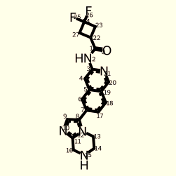 O=C(Nc1cc2cc(-c3cnc4n3CCNC4)ccc2cn1)C1CC(F)(F)C1